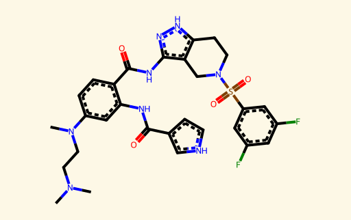 CN(C)CCN(C)c1ccc(C(=O)Nc2n[nH]c3c2CN(S(=O)(=O)c2cc(F)cc(F)c2)CC3)c(NC(=O)c2cc[nH]c2)c1